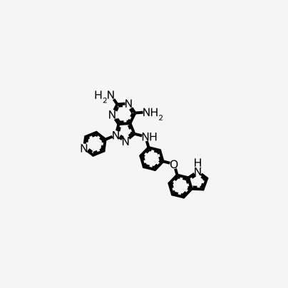 Nc1nc(N)c2c(Nc3cccc(Oc4cccc5cc[nH]c45)c3)nn(-c3ccncc3)c2n1